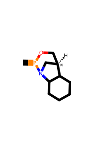 C#P1OC[C@@H]2CN1C1CCCCC12